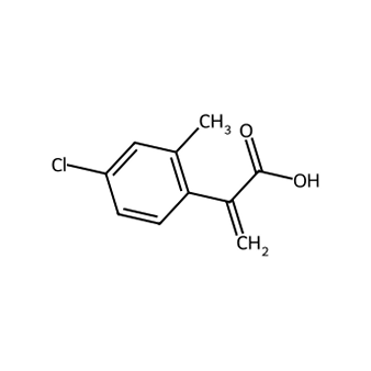 C=C(C(=O)O)c1ccc(Cl)cc1C